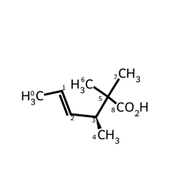 C/C=C/[C@H](C)C(C)(C)C(=O)O